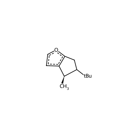 C[C@H]1c2ccoc2CC1C(C)(C)C